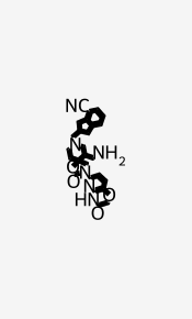 N#Cc1cccc2c1CC(CN1CCC3(CN(c4ccc5c(n4)NC(=O)CO5)C(=O)O3)C(CN)C1)C2